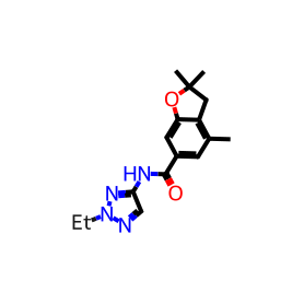 CCn1ncc(NC(=O)c2cc(C)c3c(c2)OC(C)(C)C3)n1